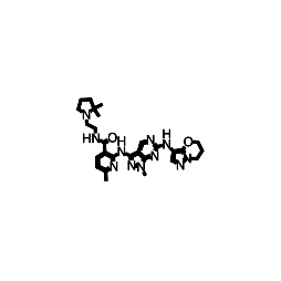 Cc1ccc(C(=O)NCCN2CCCC2(C)C)c(Nc2nn(C)c3nc(Nc4cnn5c4OCCC5)ncc23)n1